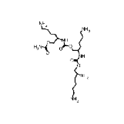 NCCCCC(N)COC(=O)NC(CCCCN)COC(=O)NC(CCCCN)COC(N)=O